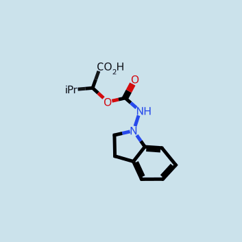 CC(C)C(OC(=O)NN1CCc2ccccc21)C(=O)O